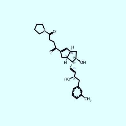 Cc1cccc(C[C@@H](O)/C=C/[C@@H]2[C@H]3CC(C(=S)CCC(=O)N4CCCC4)=C[C@H]3C[C@H]2O)c1